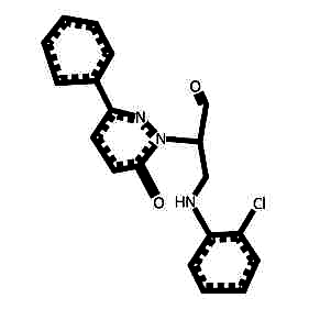 O=CC(CNc1ccccc1Cl)n1nc(-c2ccccc2)ccc1=O